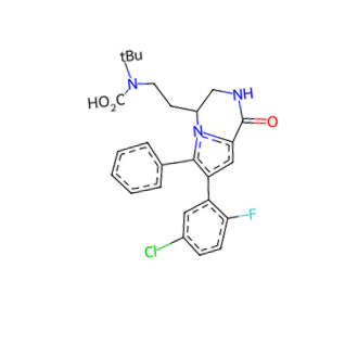 CC(C)(C)N(CCC1CNC(=O)c2cc(-c3cc(Cl)ccc3F)c(-c3ccccc3)n21)C(=O)O